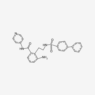 Nc1cccc(C(=O)Nc2ccncc2)c1CCNS(=O)(=O)c1ccc(-c2ccccc2)cc1